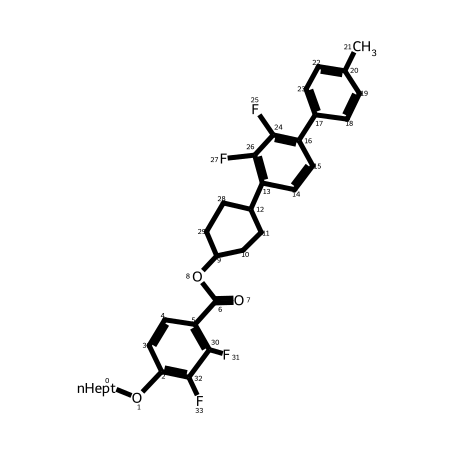 CCCCCCCOc1ccc(C(=O)OC2CCC(c3ccc(-c4ccc(C)cc4)c(F)c3F)CC2)c(F)c1F